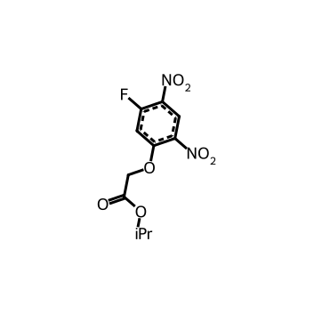 CC(C)OC(=O)COc1cc(F)c([N+](=O)[O-])cc1[N+](=O)[O-]